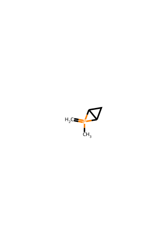 C=P1(C)C2CC21